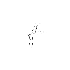 COc1cc(-c2cnc3cc(N4CCN(C)CC4)ccn23)cc2c1C(=O)N(CC(F)(F)F)CC2